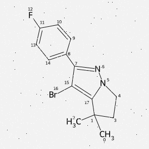 CC1(C)CCn2nc(-c3ccc(F)cc3)c(Br)c21